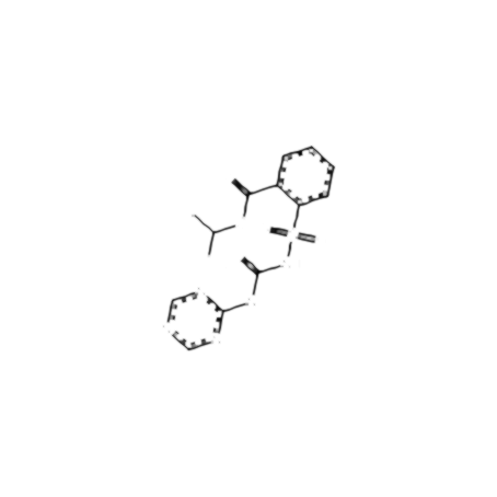 CC(Cl)OC(=O)c1ccccc1S(=O)(=O)NC(=O)Nc1ncncn1